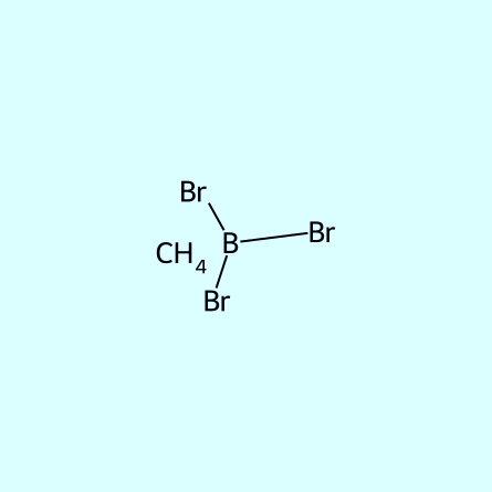 BrB(Br)Br.C